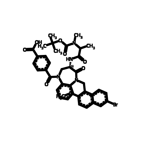 COc1ccc2cc(Br)ccc2c1CN1C(=O)[C@@H](NC(=O)C(C)N(C)C(=O)OC(C)(C)C)CN(C(=O)c2ccc(C(=O)O)cc2)c2ccccc21